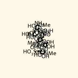 CNC1[C@@H](O[C@@H]2C(OC=O)O[C@@H](O[C@@H]3C(COOO)O[C@@H](OC4C(OC=O)OC(O[C@@H]5C(COS(=O)(=O)O)O[C@H](OC)C(N)[C@H]5O)[C@@H](OOO)[C@@H]4O)C(NC)[C@H]3OOO)C(O)[C@H]2O)OC(COS(=O)(=O)O)[C@@H](O)[C@@H]1O